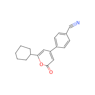 N#Cc1ccc(-c2cc(C3CCCCC3)oc(=O)c2)cc1